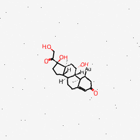 C[C@]12C[C@H](O)[C@H]3[C@@H](CCC4=CC(=O)C[CH]([Au])[C@@]43C)[C@@H]1CC[C@]2(O)C(=O)CO